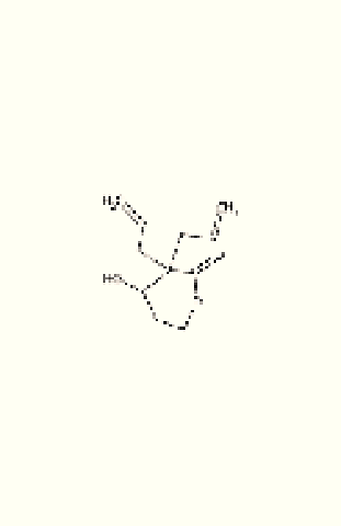 C=CCC1(CC=C)C(=O)OCCC1O